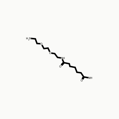 [NH]C(=O)CCCCCC(=O)NCCOCCOCCN